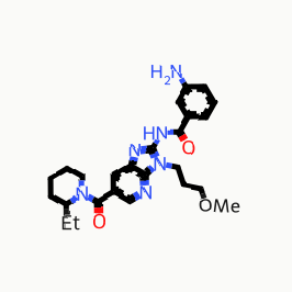 CCC1CCCCN1C(=O)c1cnc2c(c1)nc(NC(=O)c1cccc(N)c1)n2CCCOC